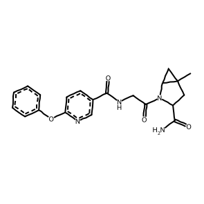 CC12CC(C(N)=O)N(C(=O)CNC(=O)c3ccc(Oc4ccccc4)nc3)C1C2